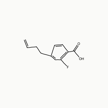 C=CCCc1ccc(C(=O)O)c(F)c1